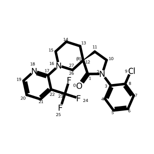 O=C1N(c2ccccc2Cl)CC[C@@]12CCCN(c1ncccc1C(F)(F)F)C2